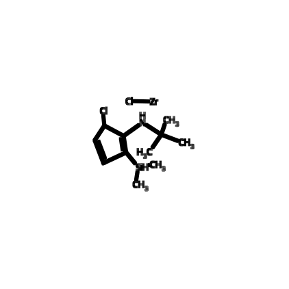 C[SiH](C)C1=C(NC(C)(C)C)C(Cl)C=C1.[Cl][Zr]